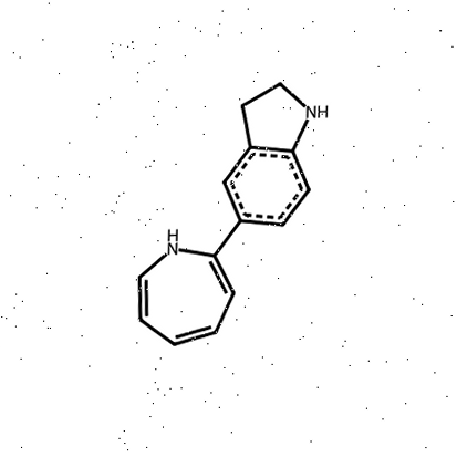 C1=CC=C(c2ccc3c(c2)CCN3)NC=C1